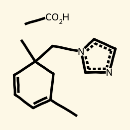 CC(=O)O.CC1=CC=CC(C)(Cn2ccnc2)C1